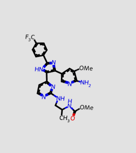 COC(=O)NC(C)CNc1nccc(-c2[nH]c(-c3ccc(C(F)(F)F)cc3)nc2-c2cnc(N)c(OC)c2)n1